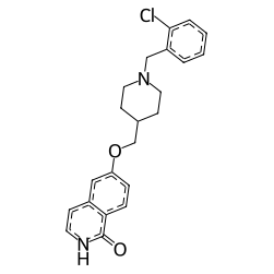 O=c1[nH]ccc2cc(OCC3CCN(Cc4ccccc4Cl)CC3)ccc12